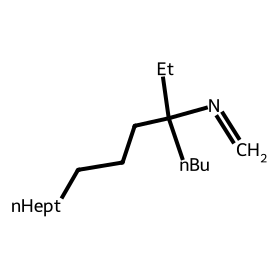 C=NC(CC)(CCCC)CCCCCCCCCC